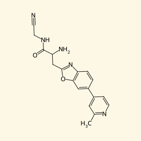 Cc1cc(-c2ccc3nc(CC(N)C(=O)NCC#N)oc3c2)ccn1